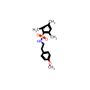 COc1ccc(CCNS(=O)(=O)c2c(C)cc(C)cc2C)cc1